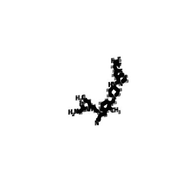 C=CCC(CCn1c(C#N)cc2c(C)c(CN3CCC(Nc4ncnc5sc(CC(F)(F)F)cc45)CC3)ccc21)NC(=O)CN